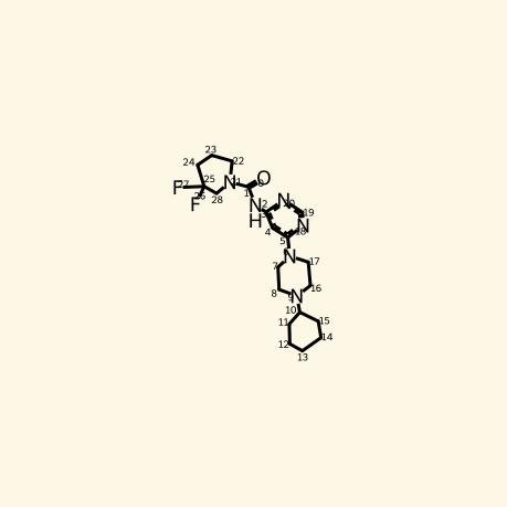 O=C(Nc1cc(N2CCN(C3CCCCC3)CC2)ncn1)N1CCCC(F)(F)C1